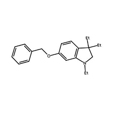 CCN1CC(CC)(CC)c2ccc(OCc3ccccc3)cc21